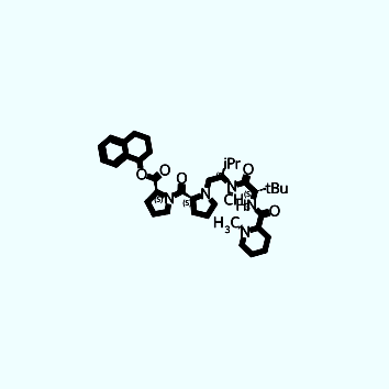 CC(C)[C@@H](CN1CCC[C@H]1C(=O)N1CCC[C@H]1C(=O)OC1CCCc2ccccc21)N(C)C(=O)[C@@H](NC(=O)C1CCCCN1C)C(C)(C)C